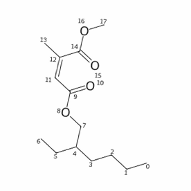 CCCCC(CC)COC(=O)C=C(C)C(=O)OC